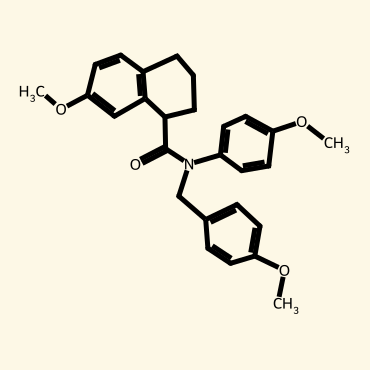 COc1ccc(CN(C(=O)C2CCCc3ccc(OC)cc32)c2ccc(OC)cc2)cc1